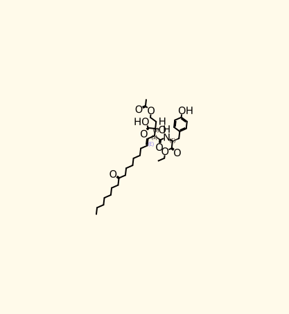 CCCCCCCC(=O)CCCCCC/C=C/[C@H](C(=O)N[C@@H](Cc1ccc(O)cc1)C(=O)OCC)[C@@](O)(CCOC(C)=O)C(=O)O